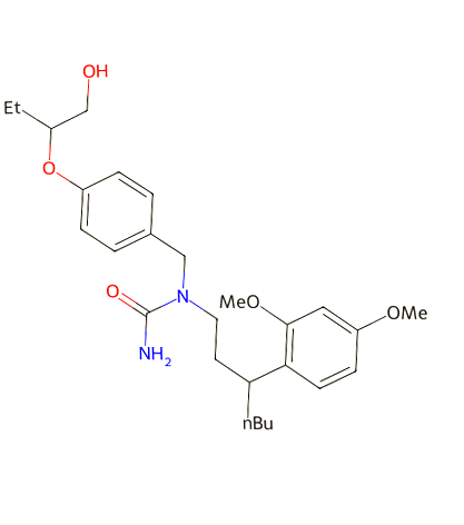 CCCCC(CCN(Cc1ccc(OC(CC)CO)cc1)C(N)=O)c1ccc(OC)cc1OC